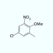 COc1c(C)cc(Cl)cc1[N+](=O)[O-]